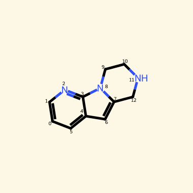 c1cnc2c(c1)cc1n2CCNC1